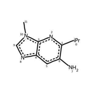 CC(C)c1nc2c(cc1N)ncn2C